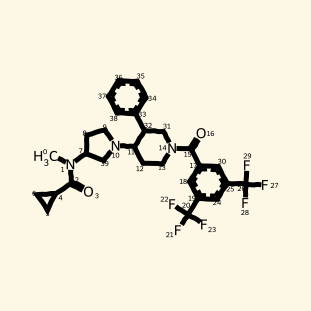 CN(C(=O)C1CC1)C1CCN(C2CCN(C(=O)c3cc(C(F)(F)F)cc(C(F)(F)F)c3)CC2c2ccccc2)C1